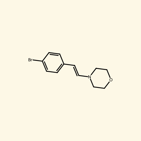 Brc1ccc(C=CN2CCOCC2)cc1